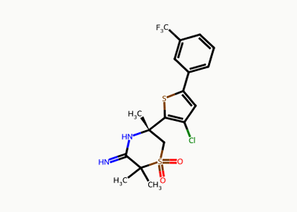 CC1(C)C(=N)N[C@](C)(c2sc(-c3cccc(C(F)(F)F)c3)cc2Cl)CS1(=O)=O